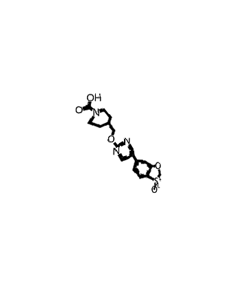 O=C(O)N1CCC(COc2ncc(-c3ccc4c(c3)OC[S@@+]4[O-])cn2)CC1